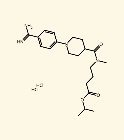 CC(C)OC(=O)CCCN(C)C(=O)C1CCN(c2ccc(C(=N)N)cc2)CC1.Cl.Cl